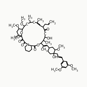 C=CCC1/C=C(\C)CC(C)CC(OC)C2OC(O)(C(=O)C(=O)N3CCCCC3C(=O)OC(C(C)=CC3CCC(O)(CC=Cc4cc(OC)cc(OC)c4)C(OC)C3)C(C)C(O)CC1=O)C(C)CC2OC